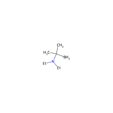 BC(C)(C)N(CC)CC